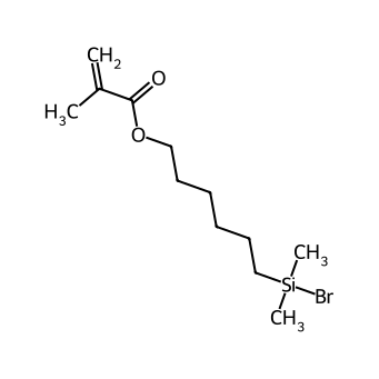 C=C(C)C(=O)OCCCCCC[Si](C)(C)Br